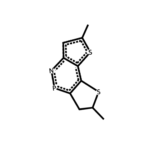 Cc1cc2npc3c(c2s1)SC(C)C3